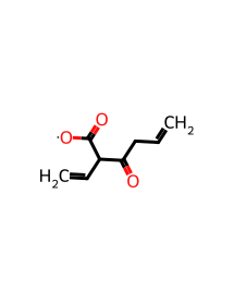 C=CCC(=O)C(C=C)C([O])=O